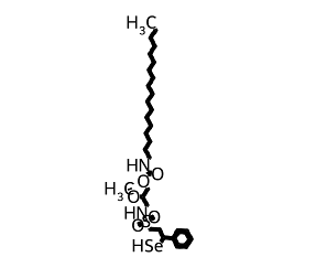 CCCCCCCCCCCCCCCCCCNC(=O)OCC(CNS(=O)(=O)CCC([SeH])c1ccccc1)OC